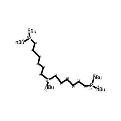 CCCCP(CCCC)CCCCCCP(CCCC)CCCCCCP(CCCC)CCCC